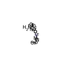 COC[C@H](C)Oc1cnc(/C(F)=C/c2ccc(F)c([C@]3(C)CC[C@@](CF)(S(C)(=O)=O)C(N)=N3)c2)cn1